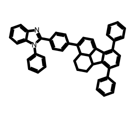 C1=C(c2ccc(-c3nc4ccccc4n3-c3ccccc3)cc2)C2CCCC3c4c(-c5ccccc5)ccc(-c5ccccc5)c4C(=C1)C23